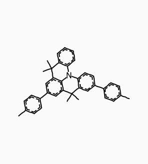 Cc1ccc(-c2ccc3c(c2)C(C)(C)c2cc(-c4ccc(C)cc4)cc4c2N3c2ccccc2C4(C)C)cc1